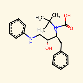 CC(C)(C)N(C(=O)O)[C@@H](Cc1ccccc1)[C@H](O)CNc1ccccc1